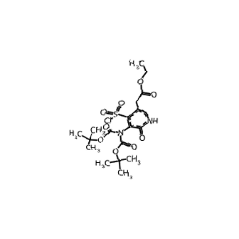 CCOC(=O)Cc1c[nH]c(=O)c(N(C(=O)OC(C)(C)C)C(=O)OC(C)(C)C)c1S(=O)(=O)Cl